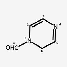 O=CN1C=CN=CC1